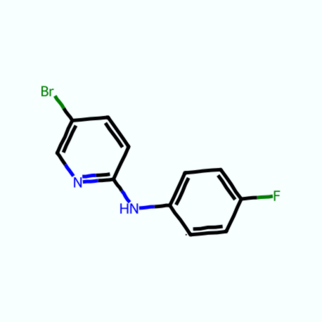 Fc1c[c]c(Nc2ccc(Br)cn2)cc1